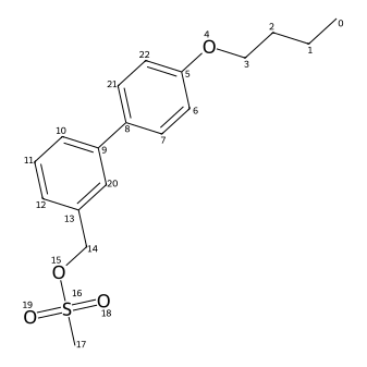 CCCCOc1ccc(-c2cccc(COS(C)(=O)=O)c2)cc1